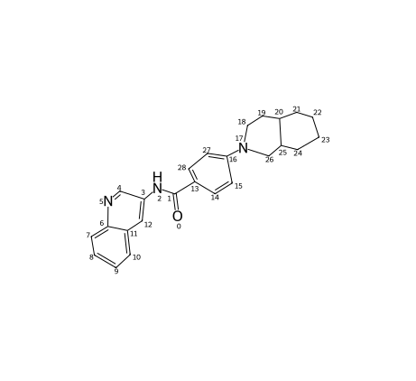 O=C(Nc1cnc2ccccc2c1)c1ccc(N2CCC3CCCCC3C2)cc1